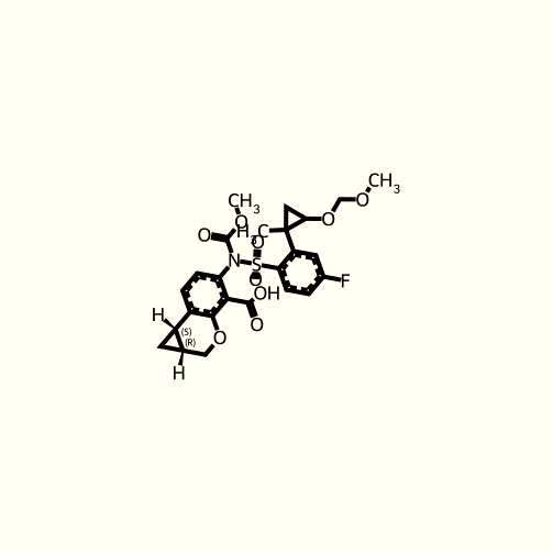 COCOC1CC1(C)c1cc(F)ccc1S(=O)(=O)N(C(=O)OC)c1ccc2c(c1C(=O)O)OC[C@@H]1C[C@H]21